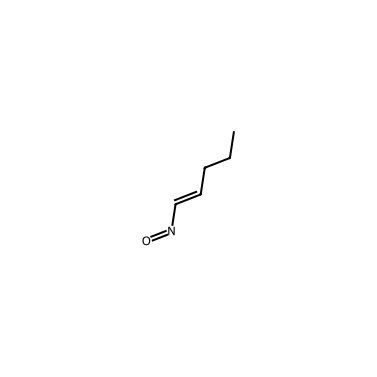 CCCC=CN=O